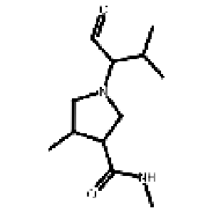 CNC(=O)C1CN(C(C=O)C(C)C)CC1C